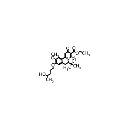 CCOC(=O)c1cn2c(cc1=O)-c1cc(OC)c(OCCCC(C)O)cc1CC2C(C)(C)C